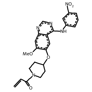 C=CC(=O)N1CCC(Oc2cc3c(Nc4cccc([N+](=O)[O-])c4)ncnc3cc2OC)CC1